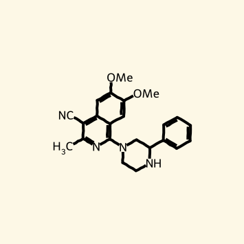 COc1cc2c(N3CCNC(c4ccccc4)C3)nc(C)c(C#N)c2cc1OC